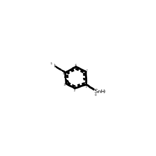 [SnH][c]1ccc(I)cc1